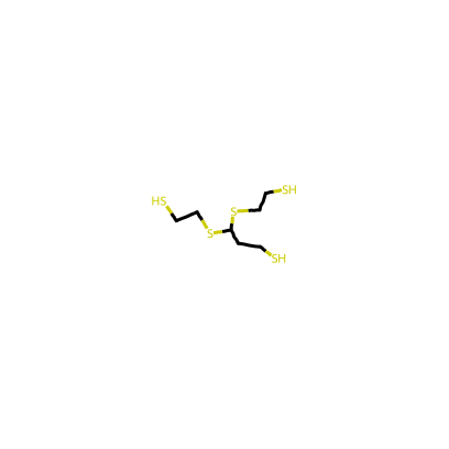 SCCSC(CCS)SCCS